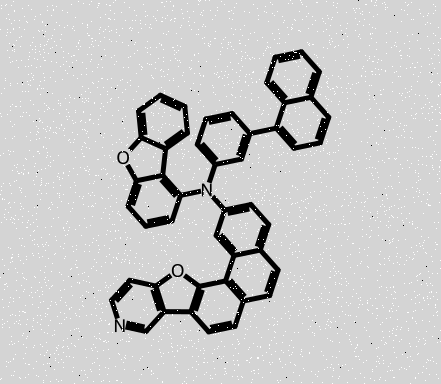 c1cc(-c2cccc3ccccc23)cc(N(c2ccc3ccc4ccc5c6cnccc6oc5c4c3c2)c2cccc3oc4ccccc4c23)c1